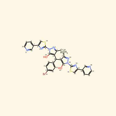 Cc1nn(-c2nc(-c3cccnc3)cs2)c(O)c1C(c1ccc(Br)cc1)c1c(C)nn(-c2nc(-c3cccnc3)cs2)c1O